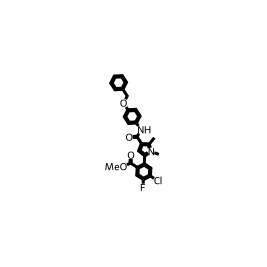 COC(=O)c1cc(F)c(Cl)cc1-c1cc(C(=O)Nc2ccc(OCc3ccccc3)cc2)c(C)n1C